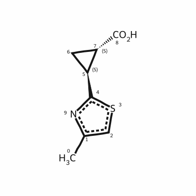 Cc1csc([C@H]2C[C@@H]2C(=O)O)n1